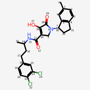 Cc1ccc2c(c1)[C@H](N1CC(C(=O)NC(C)CCc3ccc(Cl)c(Cl)c3)=C(O)C1=O)CC2